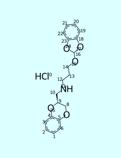 Cl.c1ccc2c(c1)OC[C@H](CNCCCOC1Oc3ccccc3O1)O2